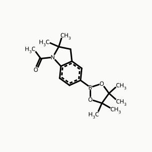 CC(=O)N1c2ccc(B3OC(C)(C)C(C)(C)O3)cc2CC1(C)C